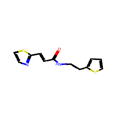 O=C(/C=C/c1nccs1)NCCc1cccs1